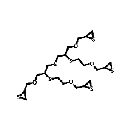 C(CSC(COCC1CS1)CSCC(COCC1CS1)SCCOCC1CS1)OCC1CS1